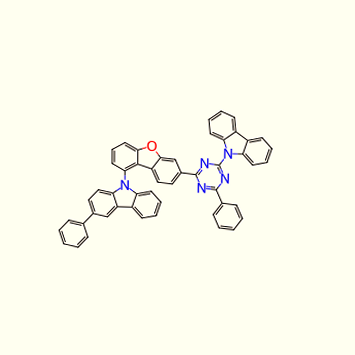 c1ccc(-c2ccc3c(c2)c2ccccc2n3-c2cccc3oc4cc(-c5nc(-c6ccccc6)nc(-n6c7ccccc7c7ccccc76)n5)ccc4c23)cc1